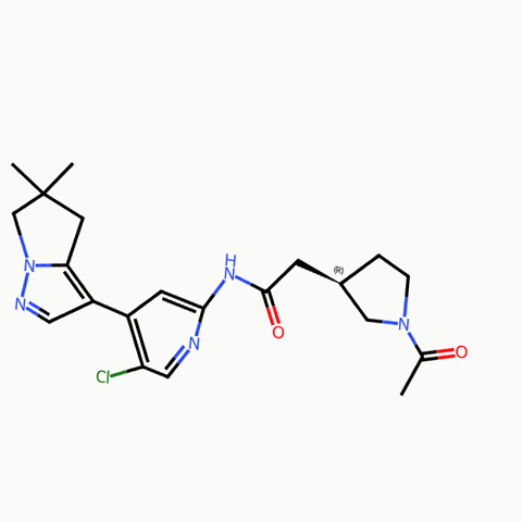 CC(=O)N1CC[C@H](CC(=O)Nc2cc(-c3cnn4c3CC(C)(C)C4)c(Cl)cn2)C1